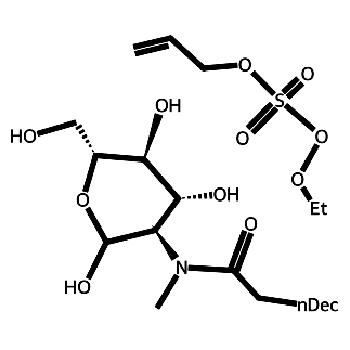 C=CCOS(=O)(=O)OOCC.CCCCCCCCCCCC(=O)N(C)[C@H]1C(O)O[C@H](CO)[C@@H](O)[C@@H]1O